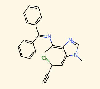 C#CC(Cl)/C=c1\c(=C(/C)N=C(c2ccccc2)c2ccccc2)ncn1C